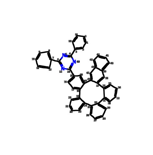 c1ccc(-c2nc(-c3ccccc3)nc(-c3ccc4c5ccccc5c5ccccc5c5ccccc5c5cc6ccccc6cc5c4c3)n2)cc1